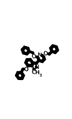 Cn1nc(-c2ccc(OCc3ccccc3)nc2OCc2ccccc2)c2cccc(OCc3ccccc3)c21